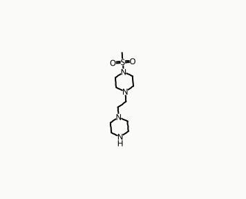 CS(=O)(=O)N1CCN(CCN2CCNCC2)CC1